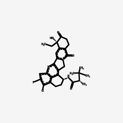 CC[C@@]1(O)C(=O)CCc2c1cc1n(c2=O)Cc2c-1nc1cc(F)c(Cl)c3c1c2[C@H](NC(=O)[C@@H](C)C(C)(C)C)CC3